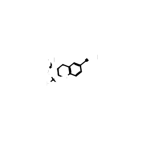 C#Cc1ccc2c(c1)C[C@@H](C(=O)O)[C@@H](C(F)(F)F)O2